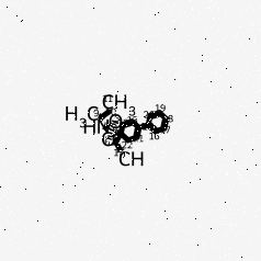 C#CCC1(S(=O)(=O)NC(C)CC)C=CC(c2ccccc2)=CC1